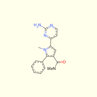 CNC(=O)c1cc(-c2ccnc(N)n2)n(C)c1-c1ccccc1